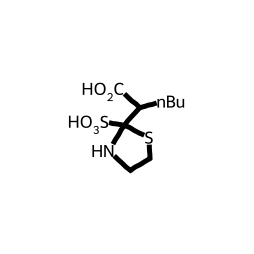 CCCCC(C(=O)O)C1(S(=O)(=O)O)NCCS1